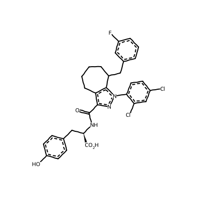 O=C(N[C@H](Cc1ccc(O)cc1)C(=O)O)c1nn(-c2ccc(Cl)cc2Cl)c2c1CCCCC2Cc1cccc(F)c1